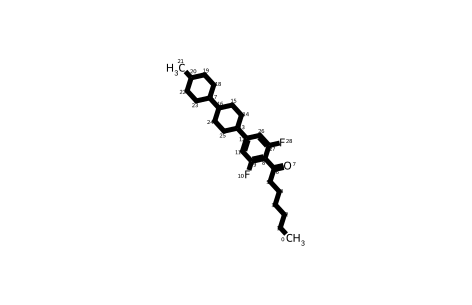 CCCCCCC(=O)c1c(F)cc(C2CCC(C3CCC(C)CC3)CC2)cc1F